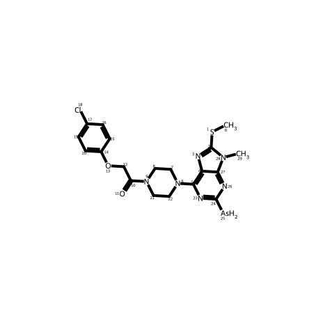 CSc1nc2c(N3CCN(C(=O)COc4ccc(Cl)cc4)CC3)nc([AsH2])nc2n1C